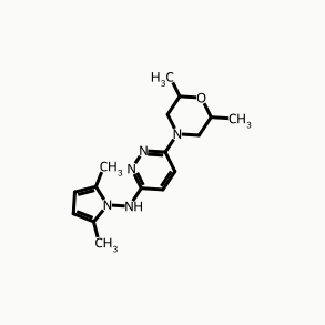 Cc1ccc(C)n1Nc1ccc(N2CC(C)OC(C)C2)nn1